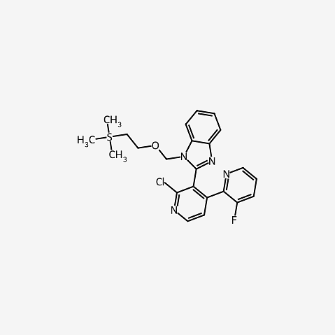 CS(C)(C)CCOCn1c(-c2c(-c3ncccc3F)ccnc2Cl)nc2ccccc21